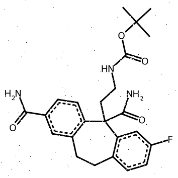 CC(C)(C)OC(=O)NCCC1(C(N)=O)c2ccc(C(N)=O)cc2CCc2ccc(F)cc21